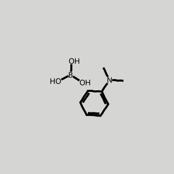 CN(C)c1ccccc1.OB(O)O